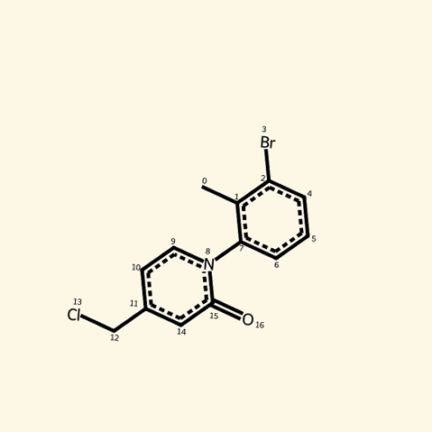 Cc1c(Br)cccc1-n1ccc(CCl)cc1=O